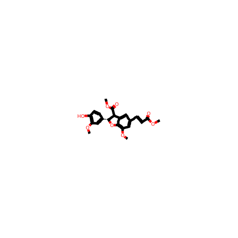 COC(=O)/C=C/c1cc(OC)c2c(c1)C(C(=O)OC)[C@@H](c1ccc(O)c(OC)c1)O2